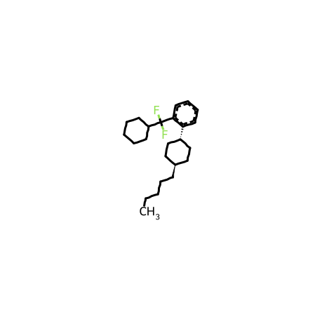 CCCCC[C@H]1CC[C@H](c2ccccc2C(F)(F)C2CCCCC2)CC1